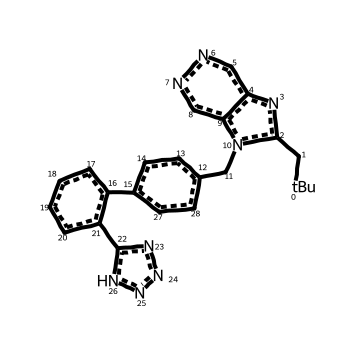 CC(C)(C)Cc1nc2cnncc2n1Cc1ccc(-c2ccccc2-c2nnn[nH]2)cc1